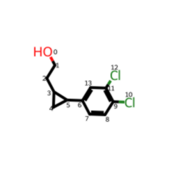 OCCC1CC1c1ccc(Cl)c(Cl)c1